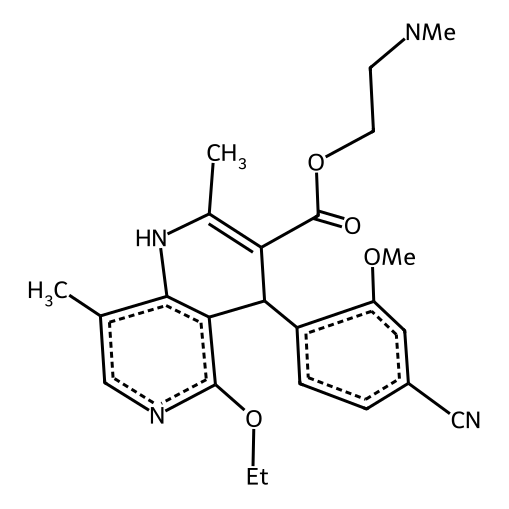 CCOc1ncc(C)c2c1C(c1ccc(C#N)cc1OC)C(C(=O)OCCNC)=C(C)N2